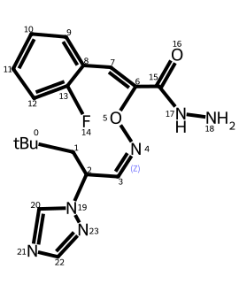 CC(C)(C)CC(/C=N\OC(=Cc1ccccc1F)C(=O)NN)n1cncn1